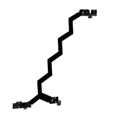 C=C(CCCCCCC)CCCCCCCC(=O)O